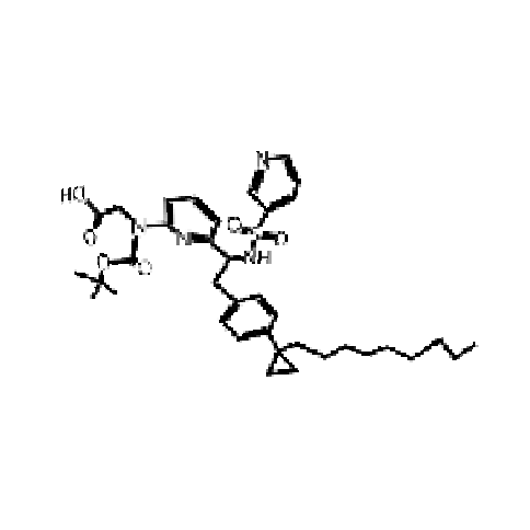 CCCCCCCCCC1(c2ccc(CC(NS(=O)(=O)c3cccnc3)c3cccc(N(CC(=O)O)C(=O)OC(C)(C)C)n3)cc2)CC1